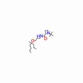 CCCCC(C)(CCC)OCCCNC(=O)C1CCN1C(C)(C)C